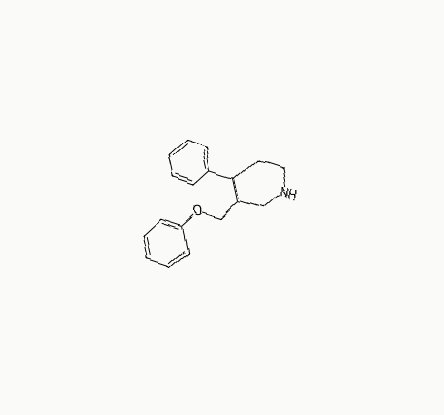 c1ccc(OCC2CNCCC2c2ccccc2)cc1